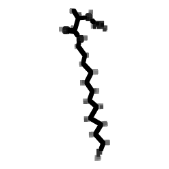 CC(OP)C(=O)OCCCCCCCCCCCCF